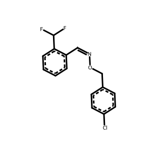 FC(F)c1ccccc1/[C]=N\OCc1ccc(Cl)cc1